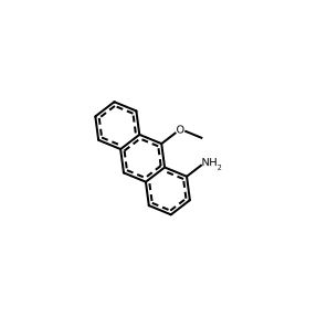 COc1c2ccccc2cc2cccc(N)c12